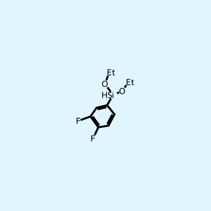 CCO[SiH](OCC)c1ccc(F)c(F)c1